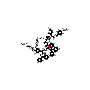 COCCOCOc1cc(C(ON=S2C=C(CC(=O)N[C@@H]3C(=O)N4C(C(=O)OCc5ccc(OC)cc5)=C(/C=C\CCl)CSC34)N=C2NC(c2ccccc2)(c2ccccc2)c2ccccc2)C(=O)OC(c2ccccc2)c2ccccc2)cc(F)c1OCOCCOC